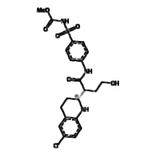 COC(=O)NS(=O)(=O)c1ccc(NC(=O)C(CCO)[C@H]2CCc3cc(Cl)ccc3N2)cc1